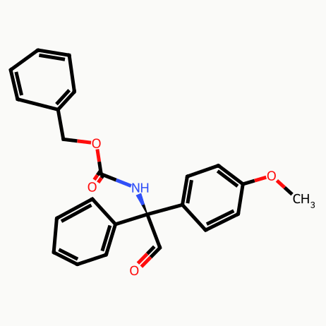 COc1ccc([C@@](C=O)(NC(=O)OCc2ccccc2)c2ccccc2)cc1